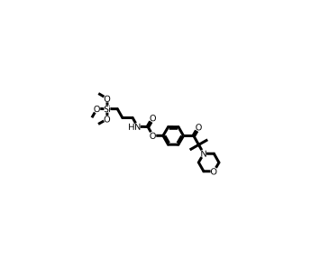 CO[Si](CCCNC(=O)Oc1ccc(C(=O)C(C)(C)N2CCOCC2)cc1)(OC)OC